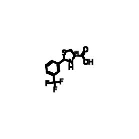 O=C(O)[C@@H]1CSC(c2cccc(C(F)(F)F)c2)N1